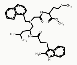 COC(=O)C(CCSC)NC(=O)CN(Cc1cccc2ccccc12)CC(CC(C)C)NC(=O)CSc1c(C)[nH]c2ccccc12